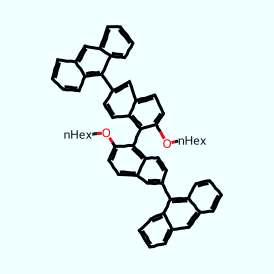 CCCCCCOc1ccc2cc(-c3c4ccccc4cc4ccccc34)ccc2c1-c1c(OCCCCCC)ccc2cc(-c3c4ccccc4cc4ccccc34)ccc12